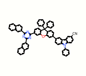 N#Cc1ccc2c(c1)c1cc(-c3ccc4c(c3)Oc3cc(-c5nc(-c6ccc7ccccc7c6)nc(-c6ccc7ccccc7c6)n5)ccc3C4(c3ccccc3)c3ccccc3)ccc1n2-c1ccccc1